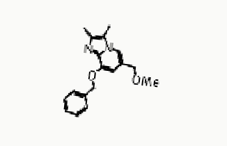 COCc1cc(OCc2ccccc2)c2nc(C)c(C)n2c1